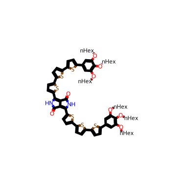 CCCCCCOc1cc(-c2ccc(-c3ccc(-c4ccc(C5=C6C(=O)NC(c7ccc(-c8ccc(-c9ccc(-c%10cc(OCCCCCC)c(OCCCCCC)c(OCCCCCC)c%10)s9)s8)s7)=C6C(=O)N5)s4)s3)s2)cc(OCCCCCC)c1OCCCCCC